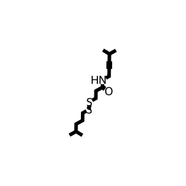 CC(C)C#CCNC(=O)CCSSCCCC(C)C